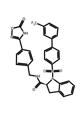 O=C(NCc1ccc(-c2noc(=O)[nH]2)cc1)[C@@H]1Cc2ccccc2N1S(=O)(=O)c1ccc(-c2cccc(C(F)(F)F)c2)cc1